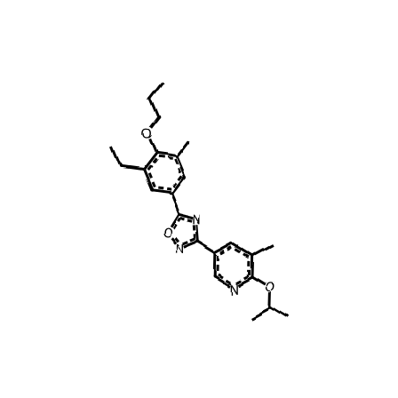 CCCOc1c(C)cc(-c2nc(-c3cnc(OC(C)C)c(C)c3)no2)cc1CC